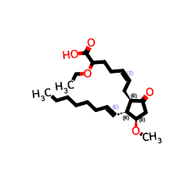 CCCCCC/C=C/[C@H]1[C@H](OC)CC(=O)[C@@H]1C/C=C\CCC(OCC)C(=O)O